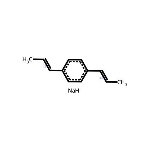 C/C=C/c1ccc(/C=C/C)cc1.[NaH]